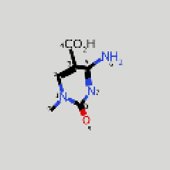 Cn1cc(C(=O)O)c(N)nc1=O